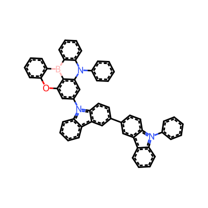 c1ccc(N2c3ccccc3B3c4ccccc4Oc4cc(-n5c6ccccc6c6cc(-c7ccc8c(c7)c7ccccc7n8-c7ccccc7)ccc65)cc2c43)cc1